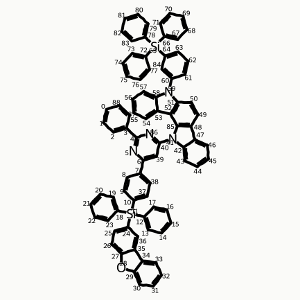 c1ccc(-c2nc(-c3ccc([Si](c4ccccc4)(c4ccccc4)c4ccc5oc6ccccc6c5c4)cc3)cc(-n3c4ccccc4c4ccc5c(c6ccccc6n5-c5cccc([Si](c6ccccc6)(c6ccccc6)c6ccccc6)c5)c43)n2)cc1